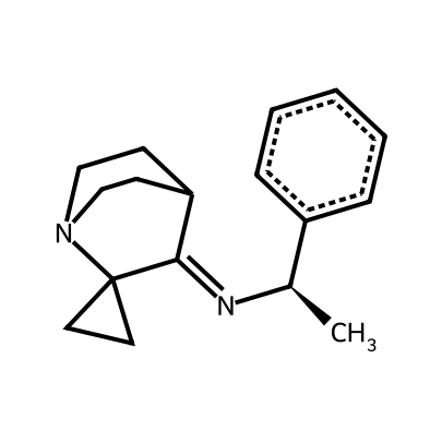 C[C@@H](N=C1C2CCN(CC2)C12CC2)c1ccccc1